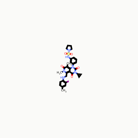 Cc1ccc(NCc2c3c(=O)n(C4CC4)c(=O)n(-c4cccc(NS(=O)(=O)N5CCCC5)c4)c3c(C)c(=O)n2C)c(I)c1